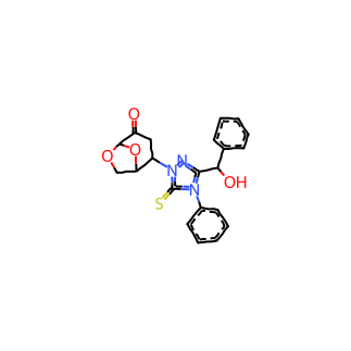 O=C1CC(n2nc(C(O)c3ccccc3)n(-c3ccccc3)c2=S)C2COC1O2